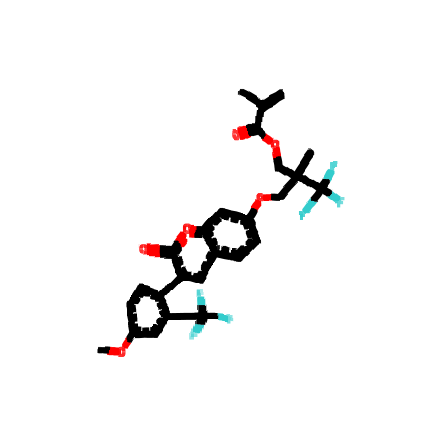 C=C(C)C(=O)OCC(C)(COc1ccc2cc(-c3ccc(OC)cc3C(F)(F)F)c(=O)oc2c1)C(F)(F)F